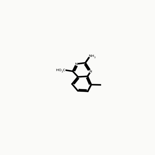 Cc1cccc2c(C(=O)O)nc(N)nc12